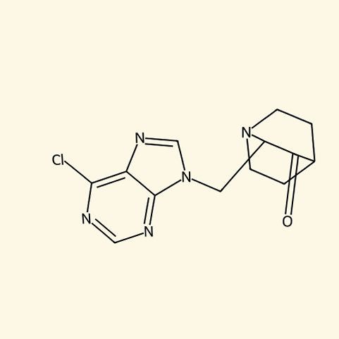 O=C1C2CCN(CC2)C1Cn1cnc2c(Cl)ncnc21